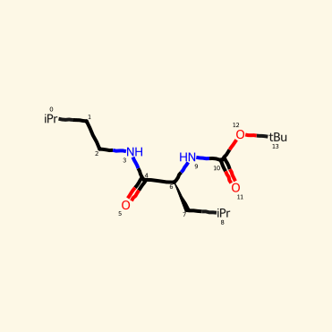 CC(C)CCNC(=O)[C@H](CC(C)C)NC(=O)OC(C)(C)C